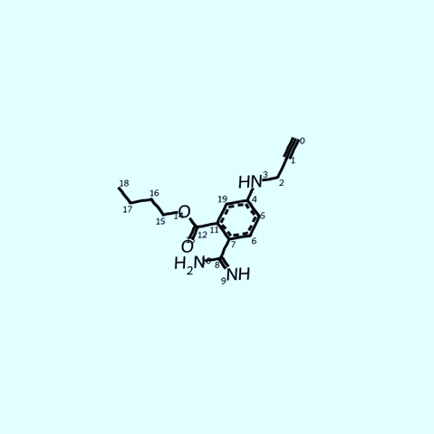 C#CCNc1ccc(C(=N)N)c(C(=O)OCCCC)c1